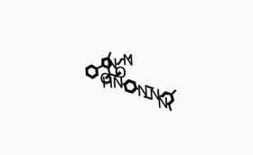 Cc1cc(C)nc(N2CCN(c3ccc(NC(=O)C(=O)c4c(-c5ccccc5)cc(C)n4CCN(C)C)cc3)CC2)c1